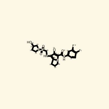 O=C(Nc1ccc(F)c(F)c1)c1c(Cl)c(NCS(=O)(=O)N2CCC(O)C2)c2n1CCC2